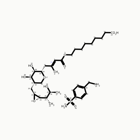 C/C(=C\C(=O)OCCCCCCCCC(=O)O)C[C@@H]1OC[C@H](C[C@@H]2O[C@H]2[C@@H](C)[C@H](C)O)[C@@H](O)[C@H]1O.NCc1ccc(S(N)(=O)=O)cc1